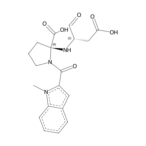 Cn1c(C(=O)N2CCC[C@]2(N[C@H](C=O)CC(=O)O)C(=O)O)cc2ccccc21